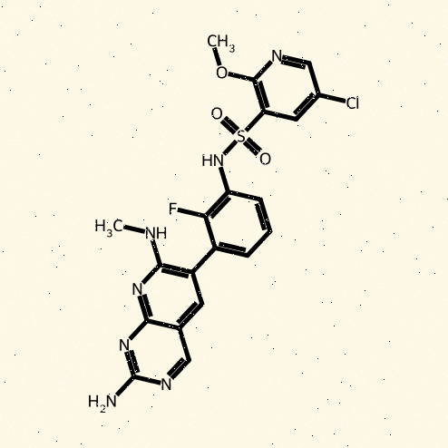 CNc1nc2nc(N)ncc2cc1-c1cccc(NS(=O)(=O)c2cc(Cl)cnc2OC)c1F